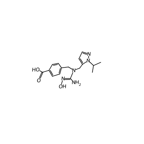 CC(C)n1nccc1CN(Cc1ccc(C(=O)O)cc1)C(N)=NO